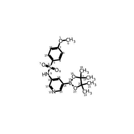 COc1ccc(S(=O)(=O)Nc2cncc(B3OC(C)(C)C(C)(C)O3)c2)cc1